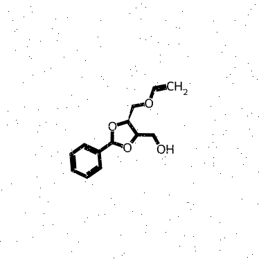 C=COC[C@@H]1OC(c2ccccc2)OC1CO